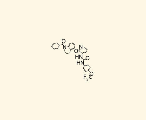 O=C(Nc1ccc(OC(F)(F)F)cc1)Nc1cccnc1Oc1cccc2c1CCCN2C(=O)c1ccccc1